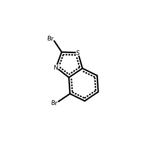 Brc1nc2c(Br)cccc2s1